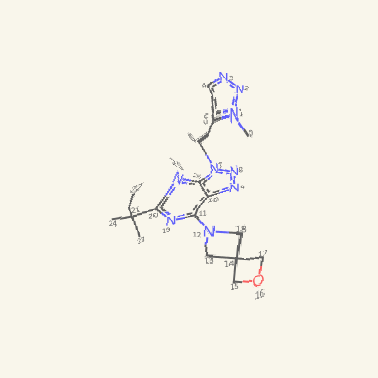 Cn1nncc1Cn1nnc2c(N3CC4(COC4)C3)nc(C(C)(C)C)nc21